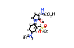 CCS(=O)(=O)C[C@H]1C[C@H](N(C)C(C)C)CC[C@@H]1N1CC[C@H](NC(=O)O)C1=O